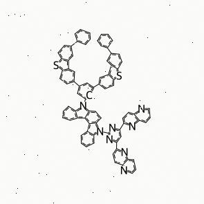 c1ccc(-c2ccc3sc4ccc(-c5cc(-c6ccc7sc8ccc(-c9ccccc9)cc8c7c6)cc(-n6c7ccccc7c7c8c9ccccc9n(-c9nc(-c%10ccc%11ncccc%11n%10)cc(-c%10ccc%11ncccc%11n%10)n9)c8ccc76)c5)cc4c3c2)cc1